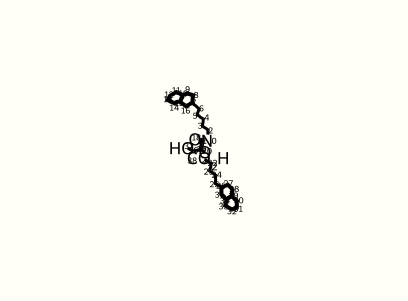 CN(CCCCCc1ccc2ccccc2c1)C(=O)C(OCCCCCc1ccc2ccccc2c1)C(O)C(=O)O